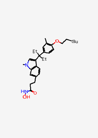 CCC(CC)(c1ccc(OCCC(C)(C)C)c(C)c1)c1cn(C)c2cc(CCC(=O)NO)ccc12